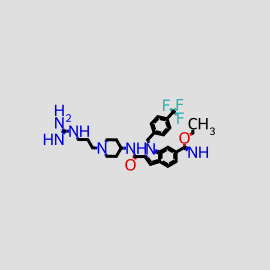 CCOC(=N)c1ccc2cc(C(=O)NC3CCN(CCCNC(=N)N)CC3)n(Cc3ccc(C(F)(F)F)cc3)c2c1